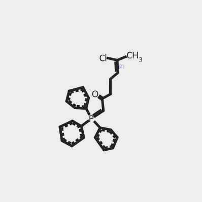 C/C(Cl)=C/CCC(=O)C=P(c1ccccc1)(c1ccccc1)c1ccccc1